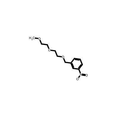 COCCOCCOCc1cccc([N+](=O)[O-])c1